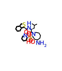 CC(C)C[C@H](NC(=O)c1scc2ccccc12)C(=O)N1CCCCC(N)C(O)C1S(=O)(=O)c1ccccn1